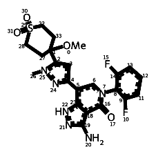 COC1(c2cc(-c3cn(-c4c(F)cccc4F)c(=O)c4c(N)n[nH]c34)nn2C)CCS(=O)(=O)CC1